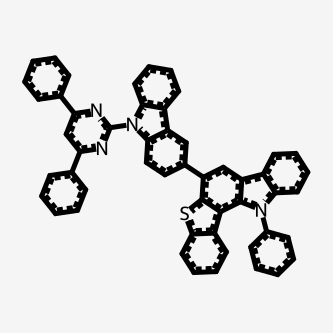 c1ccc(-c2cc(-c3ccccc3)nc(-n3c4ccccc4c4cc(-c5cc6c7ccccc7n(-c7ccccc7)c6c6c5sc5ccccc56)ccc43)n2)cc1